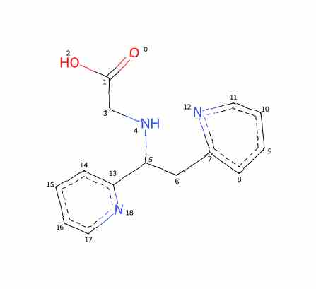 O=C(O)CNC(Cc1ccccn1)c1ccccn1